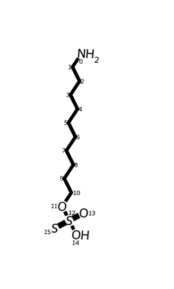 NCCCCCCCCCCOS(=O)(O)=S